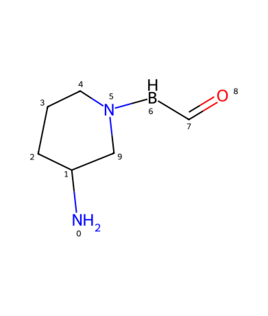 NC1CCCN(BC=O)C1